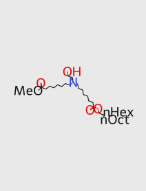 CCCCCCCCC(CCCCCC)COC(=O)CCCCCCCN(CCO)CCCCCCCC(=O)OC